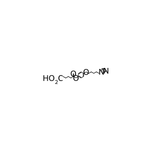 O=C(O)CCCCC(=O)Oc1ccc(OCCCCCn2ccnc2)cc1